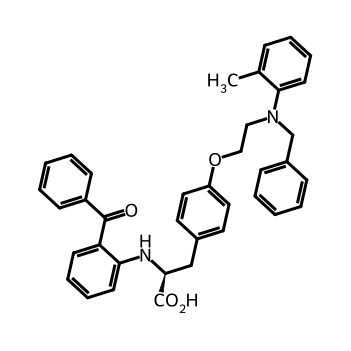 Cc1ccccc1N(CCOc1ccc(C[C@H](Nc2ccccc2C(=O)c2ccccc2)C(=O)O)cc1)Cc1ccccc1